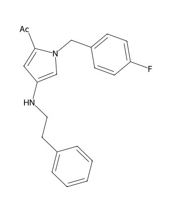 CC(=O)c1cc(NCCc2ccccc2)cn1Cc1ccc(F)cc1